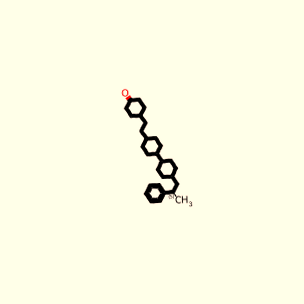 C[C@@H](CC1CCC(C2CCC(CCC3CCC(=O)CC3)CC2)CC1)c1ccccc1